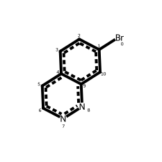 Brc1ccc2ccnnc2c1